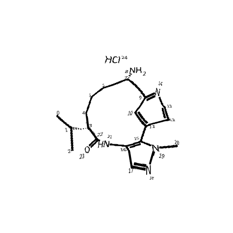 CC(C)[C@@H]1CCC[C@H](N)c2cc(ccn2)-c2c(cnn2C)NC1=O.Cl